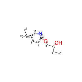 CCC(O)COc1ccc(C(C)C)cn1